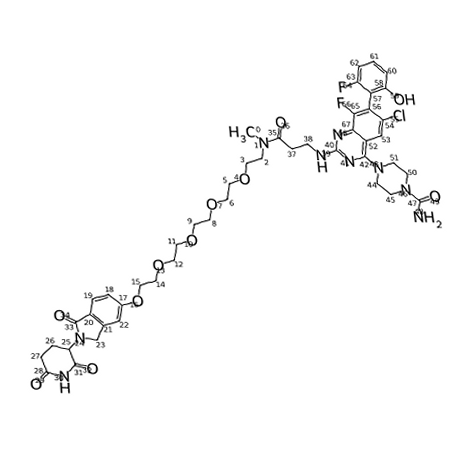 CN(CCOCCOCCOCCOCCOc1ccc2c(c1)CN(C1CCC(=O)NC1=O)C2=O)C(=O)CCNc1nc(N2CCN(C(N)=O)CC2)c2cc(Cl)c(-c3c(O)cccc3F)c(F)c2n1